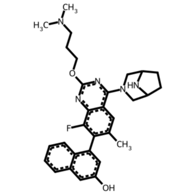 Cc1cc2c(N3CC4CCC(C3)N4)nc(OCCCN(C)C)nc2c(F)c1-c1cc(O)cc2ccccc12